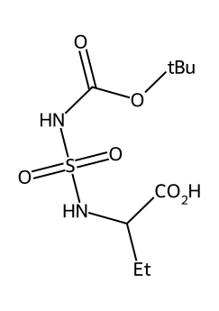 CCC(NS(=O)(=O)NC(=O)OC(C)(C)C)C(=O)O